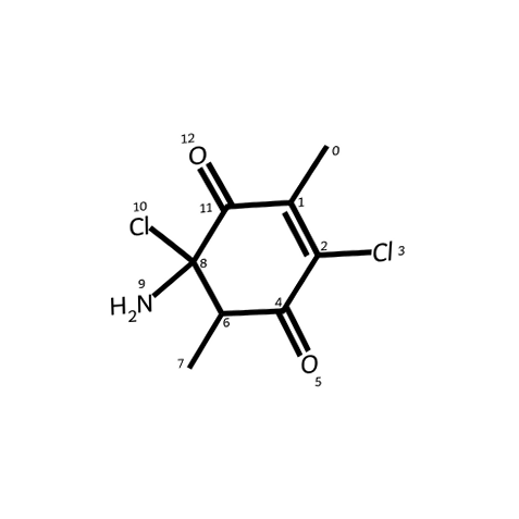 CC1=C(Cl)C(=O)C(C)C(N)(Cl)C1=O